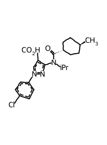 CC(C)N(c1nn(-c2ccc(Cl)cc2)cc1C(=O)O)C(=O)[C@H]1CC[C@H](C)CC1